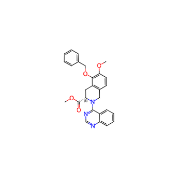 COC(=O)[C@@H]1Cc2c(ccc(OC)c2OCc2ccccc2)CN1c1ncnc2ccccc12